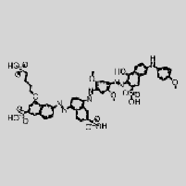 COc1ccc(Nc2ccc3c(O)c(N=Nc4cc(OC)c(N=Nc5ccc(N=Nc6ccc7cc(S(=O)(=O)O)cc(OCCCCS(=O)(=O)O)c7c6)c6ccc(S(=O)(=O)O)cc56)cc4OC)c(S(=O)(=O)O)cc3c2)cc1